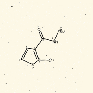 CC(C)(C)NC(=O)c1ccsc1[O]